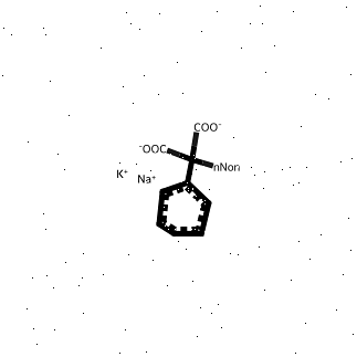 CCCCCCCCCC(C(=O)[O-])(C(=O)[O-])c1ccccc1.[K+].[Na+]